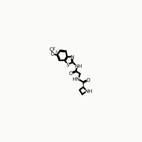 O=C(CNC(=O)[C@@H]1CCN1)Nc1nc2ccc(OC(F)(F)F)cc2s1